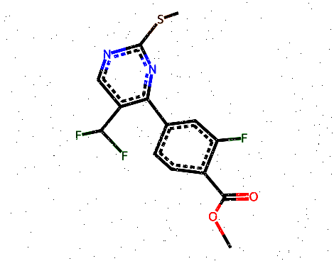 COC(=O)c1ccc(-c2nc(SC)ncc2C(F)F)cc1F